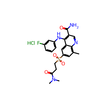 Cc1cc(S(=O)(=O)CCC(=O)N(C)C)cc2c(Nc3cccc(F)c3)c(C(N)=O)cnc12.Cl